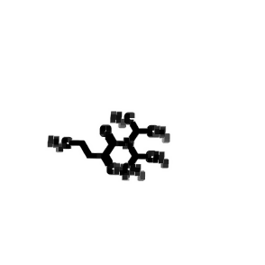 C=C(CCC)C(=O)N(C(C)C)C(C)C